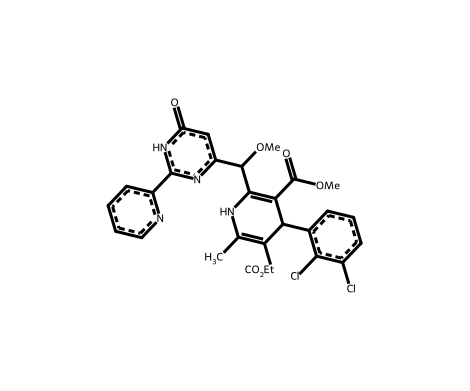 CCOC(=O)C1=C(C)NC(C(OC)c2cc(=O)[nH]c(-c3ccccn3)n2)=C(C(=O)OC)C1c1cccc(Cl)c1Cl